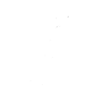 F[C@@H]1CNCC[C@H]1Oc1cccc2ccc(-c3cnc4cc(-c5cncnc5)ccn34)nc12